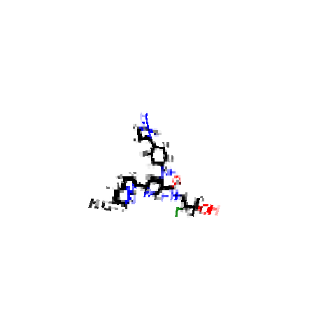 CC(C)(O)[C@H](F)CNC(=O)c1cnc(-c2ccc3cc(C#N)cnn23)cc1NC1CCC(c2cc[nH]n2)CC1